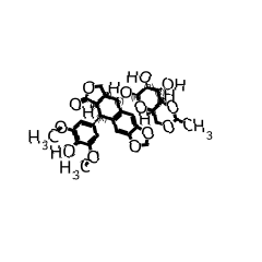 COc1cc([C@@H]2c3cc4c(cc3[C@@H](O[C@@H]3O[C@@H]5COC(C)O[C@H]5[C@H](O)[C@H]3O)[C@H]3COC(=O)[C@H]23)OCO4)cc(OC)c1O